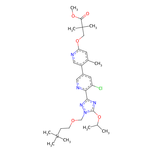 COC(=O)C(C)(C)COc1cc(C)c(-c2cnc(-c3nc(OC(C)C)n(COCC[Si](C)(C)C)n3)c(Cl)c2)cn1